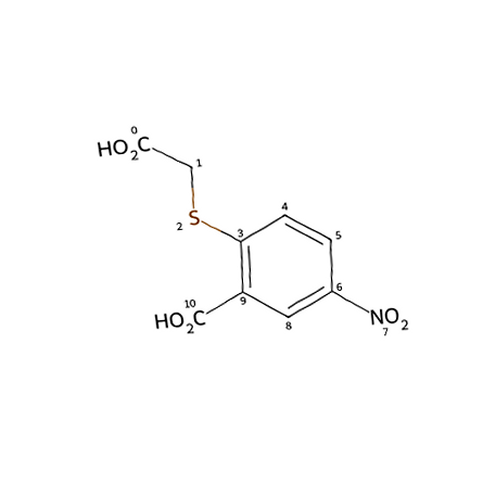 O=C(O)CSc1ccc([N+](=O)[O-])cc1C(=O)O